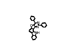 c1ccc(-c2nc(-c3ccccc3)c3oc4ccc5c6ccccc6[nH]c5c4c3n2)cc1